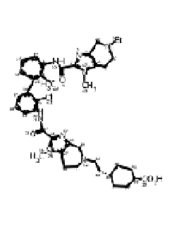 CCN1CCc2c(nc(C(=O)Nc3cccc(-c4cccc(NC(=O)c5nc6c(n5C)CCN(CC[C@H]5CC[C@H](C(=O)O)CC5)C6)c4Cl)c3C)n2C)C1